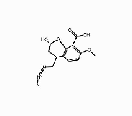 COc1ccc2c(c1C(=O)O)OB(O)CC2CN=[N+]=[N-]